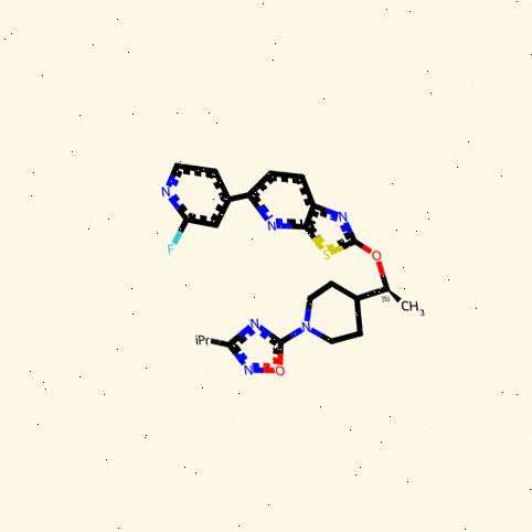 CC(C)c1noc(N2CCC([C@H](C)Oc3nc4ccc(-c5ccnc(F)c5)nc4s3)CC2)n1